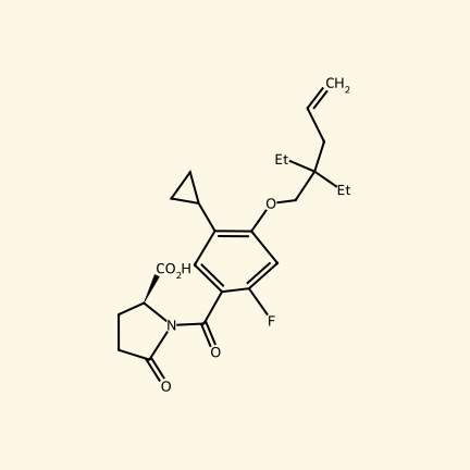 C=CCC(CC)(CC)COc1cc(F)c(C(=O)N2C(=O)CC[C@H]2C(=O)O)cc1C1CC1